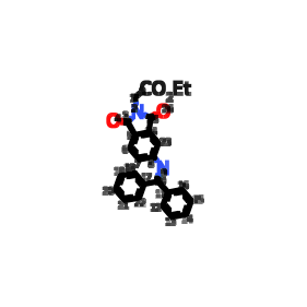 CCOC(=O)CN1C(=O)c2ccc(N=C(c3ccccc3)c3ccccc3)cc2C1=O